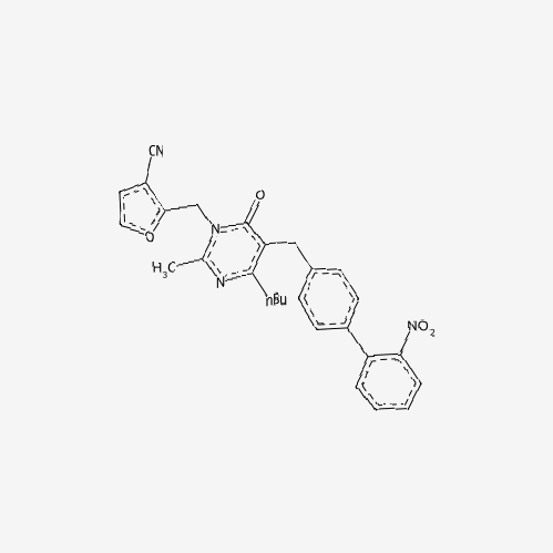 CCCCc1nc(C)n(Cc2occc2C#N)c(=O)c1Cc1ccc(-c2ccccc2[N+](=O)[O-])cc1